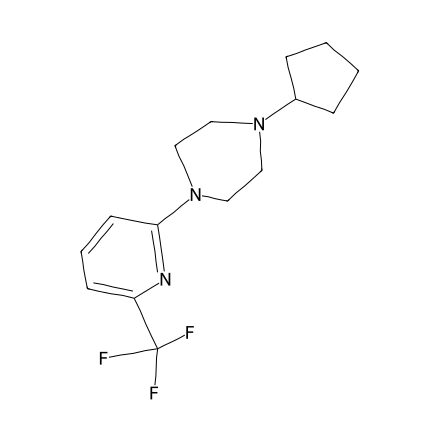 FC(F)(F)c1cccc(N2CCN(C3CCCC3)CC2)n1